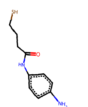 Nc1ccc(NC(=O)CCCS)cc1